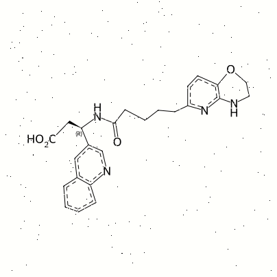 O=C(O)C[C@@H](NC(=O)CCCCc1ccc2c(n1)NCCO2)c1cnc2ccccc2c1